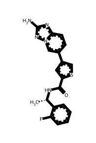 C[C@H](NC(=O)c1cc(-c2ccc3nc(N)nn3c2)cs1)c1ccccc1F